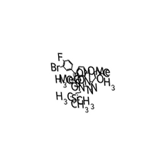 COc1cccc(OC)c1-n1c(-c2ccc(C)o2)nnc1N(CC[Si](C)(C)C)S(=O)(=O)[C@H](C)[C@@H](O)c1ccc(F)c(Br)c1